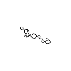 Clc1ccn2c(N3CCC(OCCOC4CCCCO4)CC3)cnc2c1